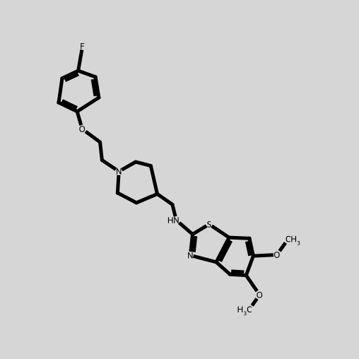 COc1cc2nc(NCC3CCN(CCOc4ccc(F)cc4)CC3)sc2cc1OC